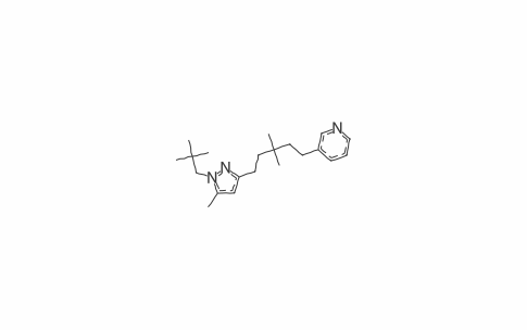 Cc1cc(CCC(C)(C)CCc2cccnc2)nn1CC(C)(C)C